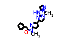 CN(C(=O)Cc1ccccc1)c1ccc(-c2ccnc(Nc3ccnn3C)n2)cn1